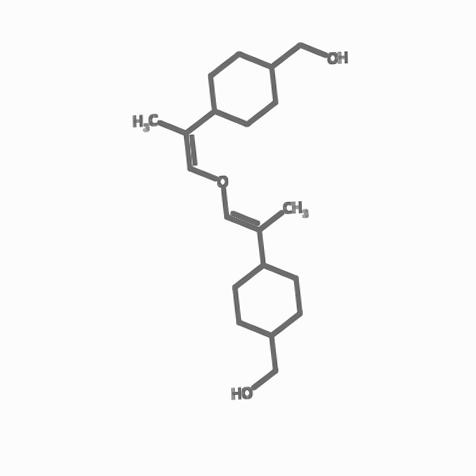 CC(=COC=C(C)C1CCC(CO)CC1)C1CCC(CO)CC1